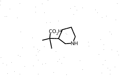 CC(C)(C(=O)O)C1CCCNC1